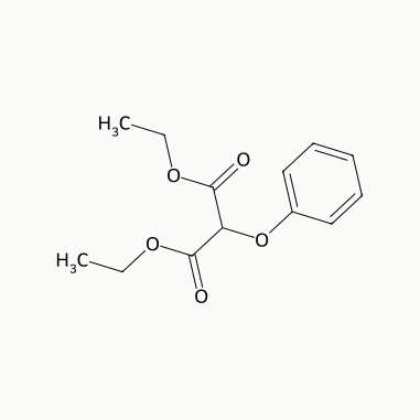 CCOC(=O)C(Oc1ccccc1)C(=O)OCC